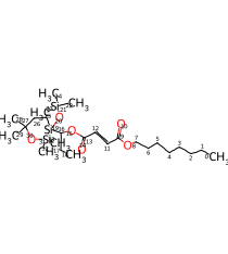 CCCCCCCCOC(=O)C=CC(=O)OC(CC)[Si]1(O[Si](C)(C)C)CCC(C)(C)O[Si]1(C)C